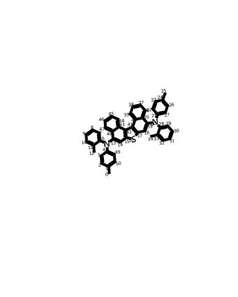 Cc1ccc(N(c2ccccc2C)c2cc3sc4cc(N(c5ccc(C)cc5)c5ccccc5C)c5ccccc5c4c3c3ccccc23)cc1